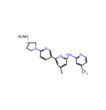 CC(=O)N[C@H]1CCN(c2ccc(-c3cc(C)cc(Nc4cc(C(F)(F)F)ccn4)n3)cn2)C1